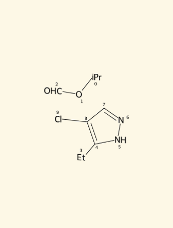 CC(C)OC=O.CCc1[nH]ncc1Cl